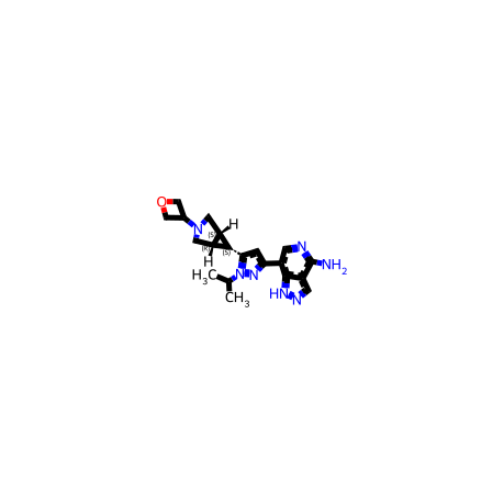 CC(C)n1nc(-c2cnc(N)c3cn[nH]c23)cc1[C@@H]1[C@@H]2CN(C3COC3)C[C@@H]21